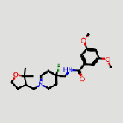 COc1cc(OC)cc(C(=O)NCC2(F)CCN(CC3CCOC3(C)C)CC2)c1